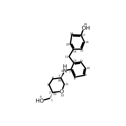 OC[C@@H]1CC[C@@H](Nc2ccccc2Cc2ccc(O)cc2)CO1